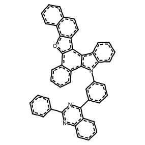 c1ccc(-c2nc(-c3cccc(-n4c5ccccc5c5c6c7ccc8ccccc8c7oc6c6ccccc6c54)c3)c3ccccc3n2)cc1